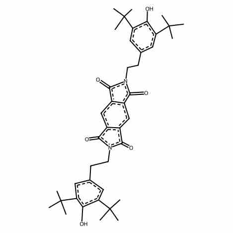 CC(C)(C)c1cc(CCn2c(=O)c3cc4c(=O)n(CCc5cc(C(C)(C)C)c(O)c(C(C)(C)C)c5)c(=O)c4cc3c2=O)cc(C(C)(C)C)c1O